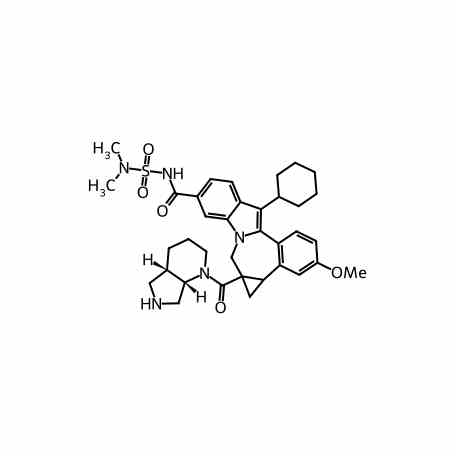 COc1ccc2c(c1)C1CC1(C(=O)N1CCC[C@H]3CNC[C@H]31)Cn1c-2c(C2CCCCC2)c2ccc(C(=O)NS(=O)(=O)N(C)C)cc21